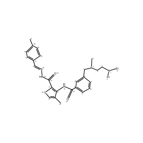 CCN(CC)CCN(C)Cc1cccc(C(=O)Nc2c(C)csc2C(=O)NN=Cc2ccc(C)cc2)c1